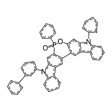 O=P1(c2ccccc2)Oc2cc3c(cc2-c2cc4c5ccccc5n(-c5cccc(-c6ccccc6)c5)c4cc21)c1ccccc1n3-c1ccccc1